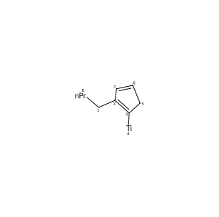 CCCCC1=[C]([Ti])CC=C1